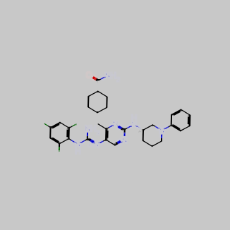 N/C(=N\c1cnc(N[C@@H]2CCCN(c3ccccc3)C2)nc1C[C@H]1CC[C@@H](C(N)=O)CC1)Nc1c(F)cc(F)cc1Cl